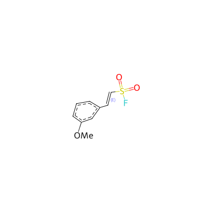 COc1cccc(/C=C/S(=O)(=O)F)c1